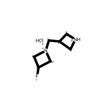 Cl.FC1CN(CC2CNC2)C1